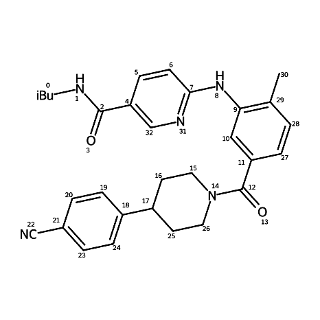 CCC(C)NC(=O)c1ccc(Nc2cc(C(=O)N3CCC(c4ccc(C#N)cc4)CC3)ccc2C)nc1